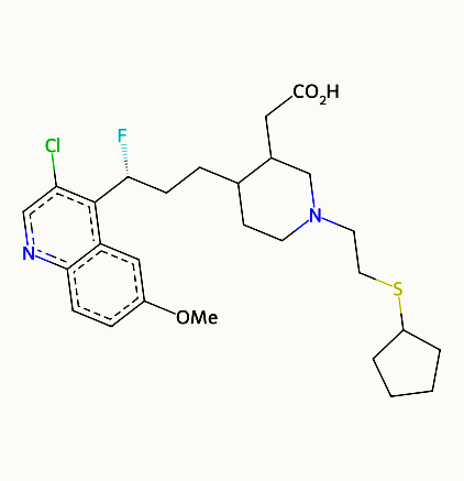 COc1ccc2ncc(Cl)c([C@H](F)CCC3CCN(CCSC4CCCC4)CC3CC(=O)O)c2c1